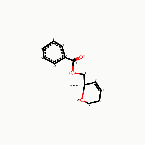 C[C@]1(COC(=O)c2ccccc2)C=CCCO1